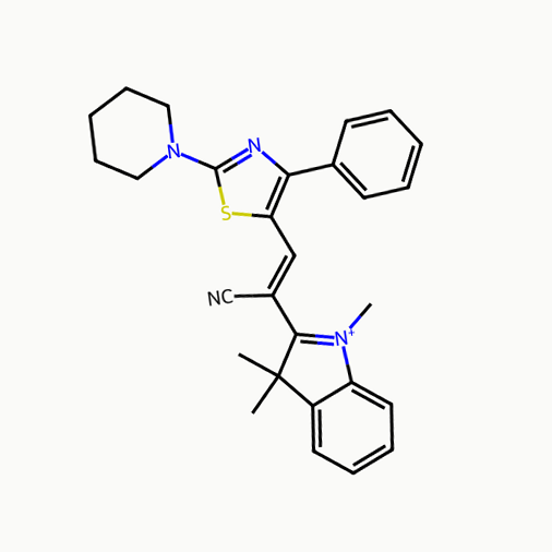 C[N+]1=C(/C(C#N)=C/c2sc(N3CCCCC3)nc2-c2ccccc2)C(C)(C)c2ccccc21